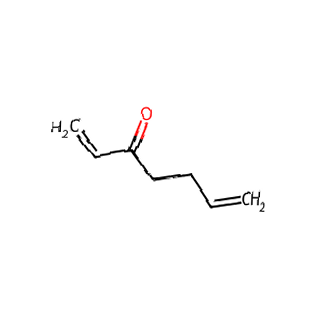 C=CCCC(=O)C=C